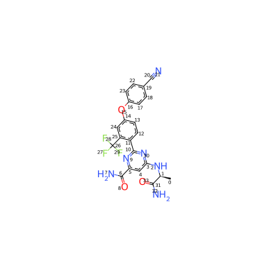 C[C@H](Nc1cc(C(N)=O)nc(-c2ccc(Oc3ccc(C#N)cc3)cc2C(F)(F)F)n1)C(N)=O